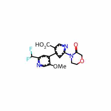 COc1cnc(C(F)F)cc1-c1cc(N2CCOCC2=O)ncc1C(=O)O